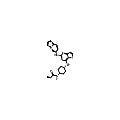 C=CC(=O)N[C@H]1CC[C@@H](Nc2nc(Nc3ccc4nccn4c3)nc3ccsc23)CC1